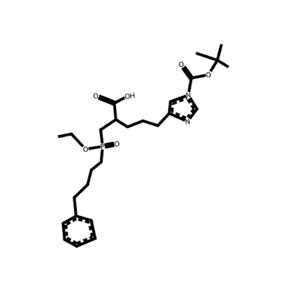 CCOP(=O)(CCCCc1ccccc1)CC(CCCc1cn(C(=O)OC(C)(C)C)cn1)C(=O)O